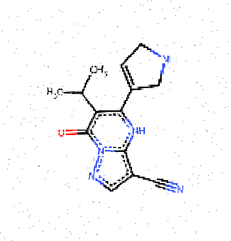 CC(C)c1c(C2=CCNC2)[nH]c2c(C#N)cnn2c1=O